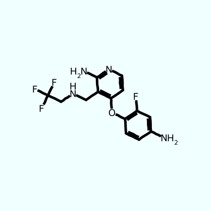 Nc1ccc(Oc2ccnc(N)c2CNCC(F)(F)F)c(F)c1